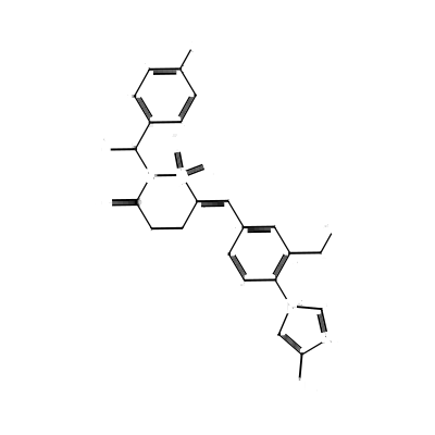 Cc1ccc(C(C)N2C(=O)CC/C(=C\c3ccc(-n4cnc(C)c4)c(CO)c3)S2(=O)=O)cc1